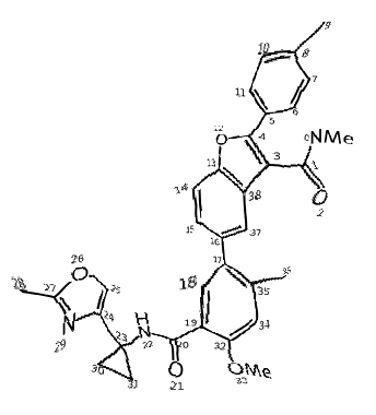 CNC(=O)c1c(-c2ccc(C)cc2)oc2ccc(-c3cc(C(=O)NC4(c5coc(C)n5)CC4)c(OC)cc3C)cc12